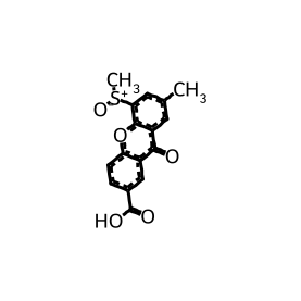 Cc1cc([S+](C)[O-])c2oc3ccc(C(=O)O)cc3c(=O)c2c1